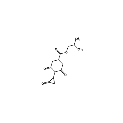 CC(C)COC(=O)C1CC(=O)C(C2CC2=O)C(=O)C1